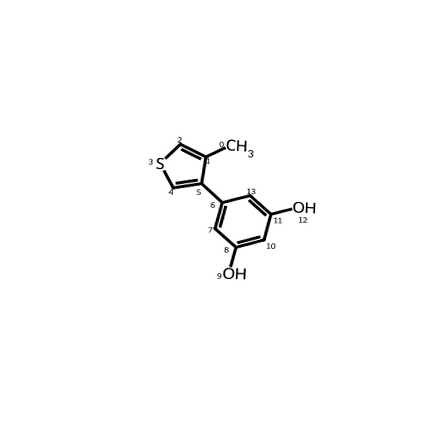 Cc1cscc1-c1cc(O)cc(O)c1